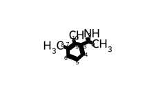 CC(=N)c1cccc(C)c1C